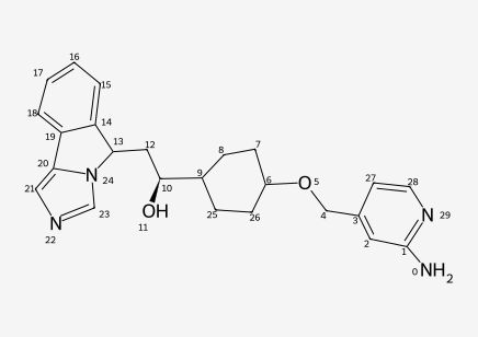 Nc1cc(COC2CCC([C@@H](O)CC3c4ccccc4-c4cncn43)CC2)ccn1